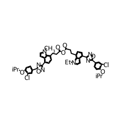 CCn1ccc2c(-c3noc(-c4ccc(OC(C)C)c(Cl)c4)n3)ccc(CCC(=O)OC(=O)CCc3ccc(-c4noc(-c5ccc(OC(C)C)c(Cl)c5)n4)c4ccn(C)c34)c21